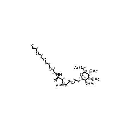 CC=COCCOCCOCCNC(=O)CN(CCOCC[C@@H]1O[C@H](COC(C)=O)[C@H](OC(C)=O)[C@H](OC(C)=O)[C@@H]1NC(C)=O)C(C)=O